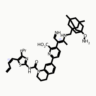 C=C/C=C\c1sc(NC(=O)N2CCCc3ccc(-c4ccc(/C(C=N)=C(\C)NCC56CC7(C)CC(C)(C5)CC(ON)(C7)C6)c(C(=O)O)n4)cc32)nc1CCC